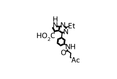 CCc1nc(-c2cccc(NC(=O)CCC(C)=O)c2)c2c(C(=O)O)c[nH]c2n1